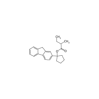 CCC(C)C(=O)OC1(c2ccc3c(c2)Cc2ccccc2-3)CCCC1